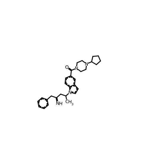 CC(CC(=N)Cc1ccccc1)n1ccc2cc(C(=O)N3CCN(C4CCCC4)CC3)ccc21